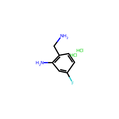 Cl.Cl.NCc1ccc(F)cc1N